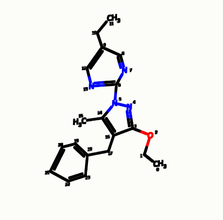 CCOc1nn(-c2ncc(CC)cn2)c(C)c1Cc1ccccc1